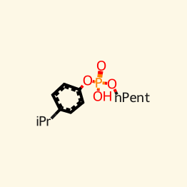 CCCCCOP(=O)(O)Oc1ccc(C(C)C)cc1